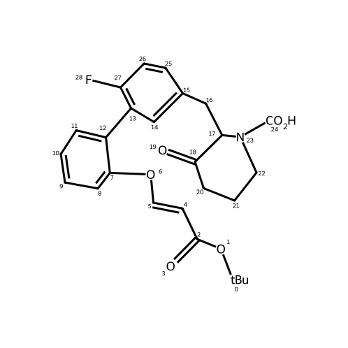 CC(C)(C)OC(=O)/C=C/Oc1ccccc1-c1cc(CC2C(=O)CCCN2C(=O)O)ccc1F